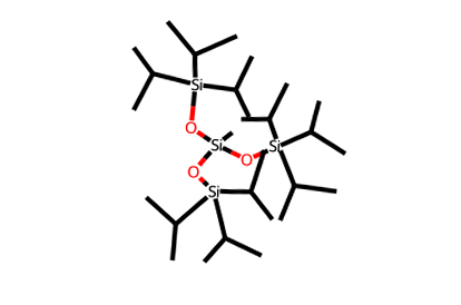 CC(C)[Si](O[Si](C)(O[Si](C(C)C)(C(C)C)C(C)C)O[Si](C(C)C)(C(C)C)C(C)C)(C(C)C)C(C)C